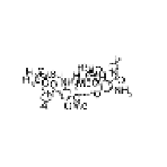 COc1cc(C(=O)N2CC3(CC3)C[C@H]2CO[Si](C)(C)C(C)(C)C)c(N)cc1OCCCOc1cc(N)c(C(=O)N2CC3(CC3)C[C@H]2CO[Si](C)(C)C(C)(C)C)cc1OC